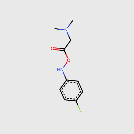 CN(C)CC(=O)ONc1ccc(F)cc1